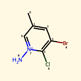 Cc1cc(Br)c(Cl)[n+](N)c1